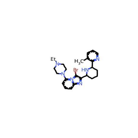 CCN1CCN(c2cccc3nc(C4CCCC(c5ncccc5C)N4)c(Br)n23)CC1